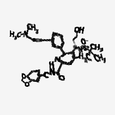 CN(C)CC#Cc1cccc(-c2nc(C(=O)NCc3ccc4c(c3)OCO4)cc3c2[C@H](CCO)N([S@+]([O-])C(C)(C)C)C3)c1